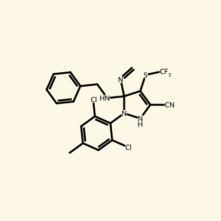 C=NC1(NCc2ccccc2)C(SC(F)(F)F)=C(C#N)NN1c1c(Cl)cc(C)cc1Cl